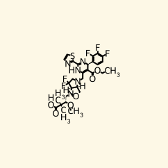 CCOC(=O)C1=C(CN2CC(F)(F)[C@H]3[C@@H]2CON3C[C@H](OC)C(C)(C)C(=O)O)NC(c2nccs2)=N[C@H]1c1ccc(F)c(F)c1F